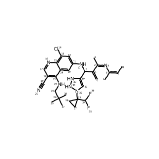 C=C(/C(C)=N\C(C)=C/C)[C@H](Nc1cc(Cl)c2ncc(C#N)c(NCC(C)(C)C)c2c1)C1=CN(C2(C(F)F)CC2)NN1